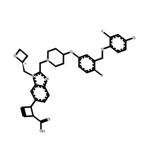 O=C(O)C1C#CC1c1ccc2nc(CN3CCC(Oc4ccc(F)c(COc5ccc(Cl)cc5F)c4)CC3)n(C[C@@H]3CCO3)c2c1